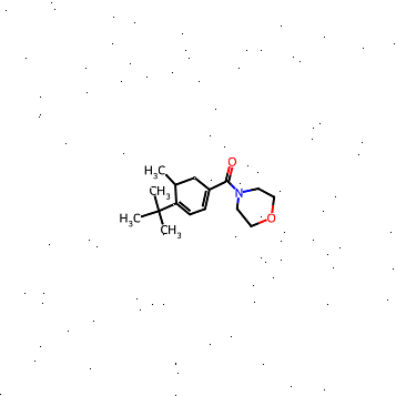 CC1CC(C(=O)N2CCOCC2)=CC=C1C(C)(C)C